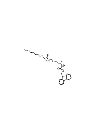 CCCCCCCCCCC(=O)NCCCCC(C)NC(=O)OCC1c2ccccc2-c2ccccc21